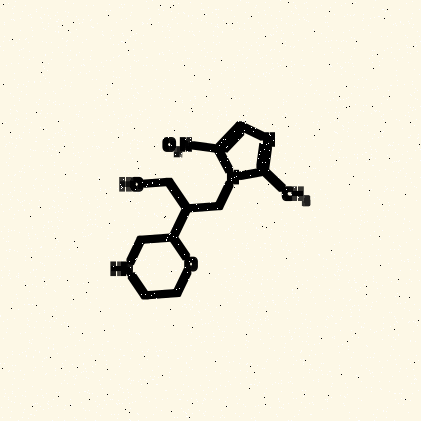 Cc1ncc([N+](=O)[O-])n1CC(CO)C1CNCCO1